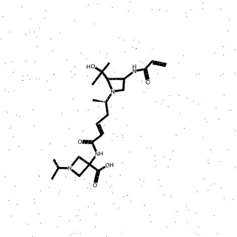 C=CC(=O)NC1CN([C@H](C)C/C=C/C(=O)NC2(C(=O)O)CN(C(C)C)C2)C1C(C)(C)O